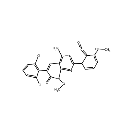 CNC1=CC=CC(c2nc(N)c3cc(-c4c(Cl)cccc4Cl)c(=O)n(OC)c3n2)C1=C=O